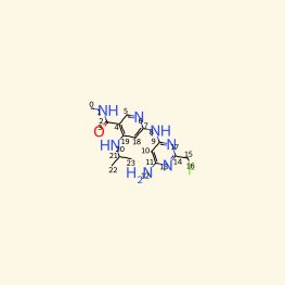 CNC(=O)c1cnc(Nc2cc(N)nc(CF)n2)cc1NC(C)C